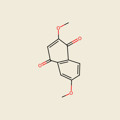 COC1=CC(=O)c2cc(OC)ccc2C1=O